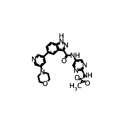 CS(=O)(=O)Nc1ncc(NC(=O)c2n[nH]c3ccc(-c4cncc(N5CCOCC5)c4)cc23)cn1